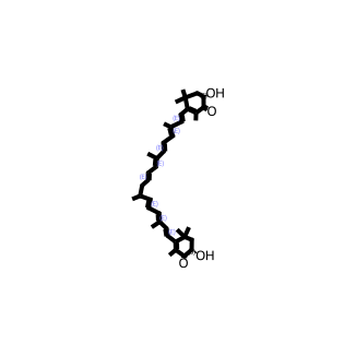 CC1=C(/C=C/C(C)=C/C=C/C(C)=C/C=C/CC(C)/C=C/C=C(C)/C=C/C2=C(C)C(=O)[C@@H](O)CC2(C)C)C(C)(C)C[C@H](O)C1=O